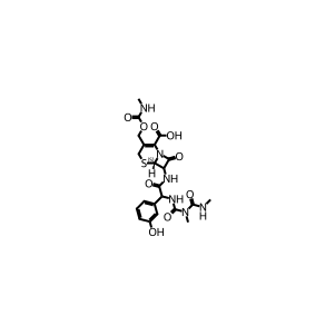 CNC(=O)OCC1=C(C(=O)O)N2C(=O)C(NC(=O)C(NC(=O)N(C)C(=O)NC)c3cccc(O)c3)[C@@H]2SC1